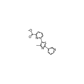 COC(=O)c1cccc(-c2sc(-c3cccnc3)nc2C)n1